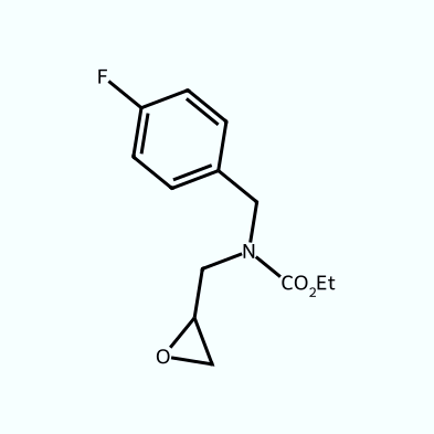 CCOC(=O)N(Cc1ccc(F)cc1)CC1CO1